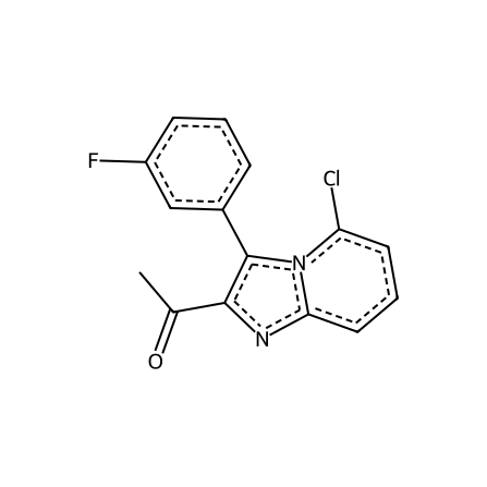 CC(=O)c1nc2cccc(Cl)n2c1-c1cccc(F)c1